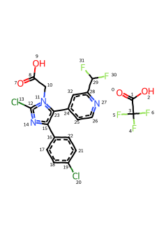 O=C(O)C(F)(F)F.O=C(O)Cn1c(Cl)nc(-c2ccc(Cl)cc2)c1-c1ccnc(C(F)F)c1